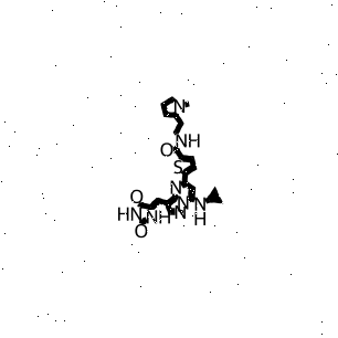 CN1CCCC1CCNC(=O)c1ccc(-c2cc(NC3CC3)n3ncc(/C=C4\NC(=O)NC4=O)c3n2)s1